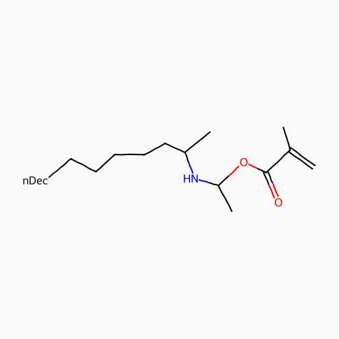 C=C(C)C(=O)OC(C)NC(C)CCCCCCCCCCCCCCC